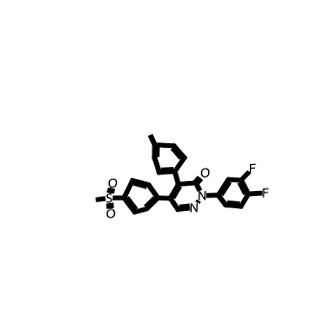 Cc1ccc(-c2c(-c3ccc(S(C)(=O)=O)cc3)cnn(-c3ccc(F)c(F)c3)c2=O)cc1